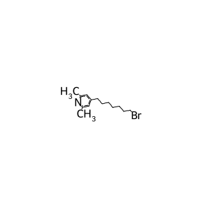 Cc1cc(CCCCCCCBr)cc(C)n1